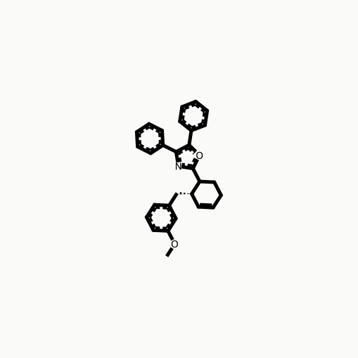 COc1cccc(C[C@H]2C=CCCC2c2nc(-c3ccccc3)c(-c3ccccc3)o2)c1